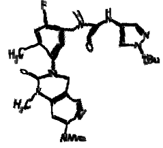 CNc1cc2c(cn1)CN(c1cc(NC(=O)Nc3cnn(C(C)(C)C)c3)c(F)cc1C)C(=O)N2C